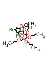 CCCCOCC1O[C@H]([C@@H](OC(C)=O)c2ccc(Br)cc2C(F)(F)F)C(OCCCC)[C@@H](OCCCC)[C@@H]1OCCCC